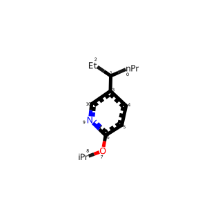 CCCC(CC)c1ccc(OC(C)C)nc1